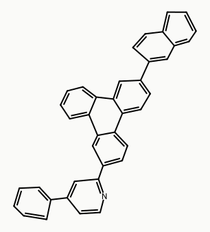 c1ccc(-c2ccnc(-c3ccc4c5ccc(-c6ccc7ccccc7c6)cc5c5ccccc5c4c3)c2)cc1